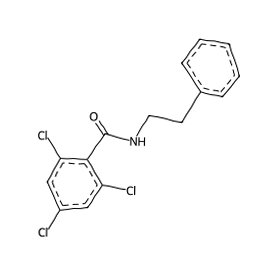 O=C(NCCc1ccccc1)c1c(Cl)cc(Cl)cc1Cl